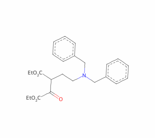 CCOC(=O)C(=O)C(CCN(Cc1ccccc1)Cc1ccccc1)C(=O)OCC